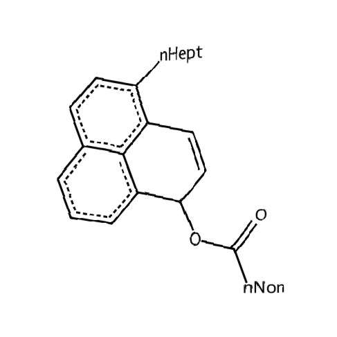 CCCCCCCCCC(=O)OC1C=Cc2c(CCCCCCC)ccc3cccc1c23